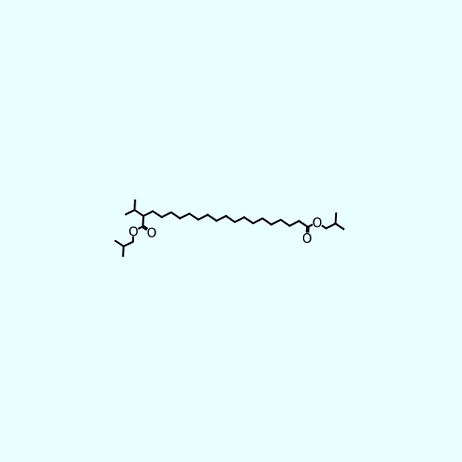 CC(C)COC(=O)CCCCCCCCCCCCCCCCCC(C(=O)OCC(C)C)C(C)C